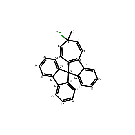 CC1(F)C=CC2=C(C=C1)C1(c3ccccc32)c2ccccc2-c2ccccc21